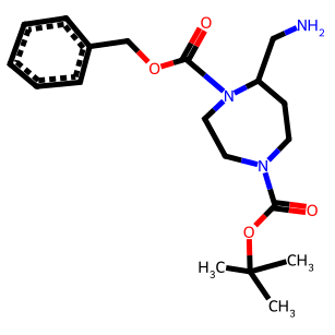 CC(C)(C)OC(=O)N1CCC(CN)N(C(=O)OCc2ccccc2)CC1